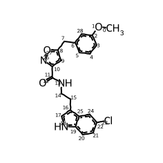 COc1cccc(Cc2cc(C(=O)NCCc3c[nH]c4ccc(Cl)cc34)no2)c1